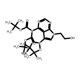 CC(C)(C)OC(=O)N(C(=O)OC(C)(C)C)c1ncnc2c1c(B1OC(C)(C)C(C)(C)O1)cn2CCO